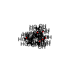 CN(CC(C)(CN(C)C(=O)Nc1c(I)c(C(=O)N(CC(O)CO)CC(O)CO)c(I)c(C(=O)N(CC(O)CO)CC(O)CO)c1I)CN(C)C(=O)Nc1c(I)c(C(=O)N(CC(O)CO)CC(O)CO)c(I)c(C(=O)N(CC(O)CO)CC(O)CO)c1I)C(=O)Nc1c(I)c(C(=O)N(CC(O)CO)CC(O)CO)c(I)c(C(=O)N(CC(O)CO)CC(O)CO)c1I